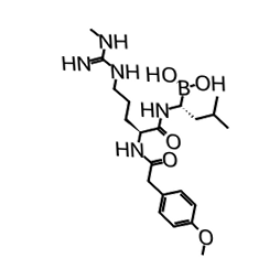 CNC(=N)NCCC[C@H](NC(=O)Cc1ccc(OC)cc1)C(=O)N[C@@H](CC(C)C)B(O)O